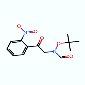 CC(C)(C)ON(C=O)CC(=O)c1ccccc1[N+](=O)[O-]